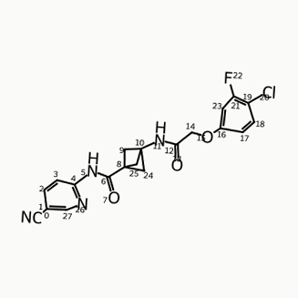 N#Cc1ccc(NC(=O)C23CC(NC(=O)COc4ccc(Cl)c(F)c4)(C2)C3)nc1